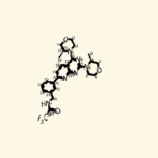 C[C@H]1COCCN1c1nc(N2CCOC[C@@H]2C)c2ccc(-c3cccc(CNC(=O)C(F)(F)F)c3)nc2n1